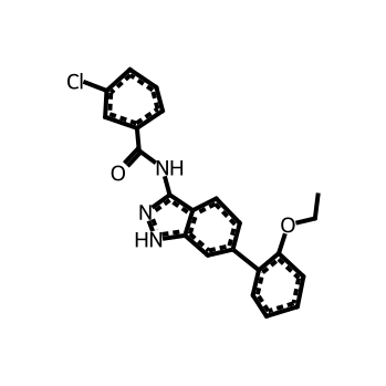 CCOc1ccccc1-c1ccc2c(NC(=O)c3cccc(Cl)c3)n[nH]c2c1